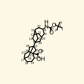 CC(C)(C)OC(=O)NC1CC2CC3CC(C45CC6CCCC(C(=O)O)(C4)C(C6)C5)(C2)CC3C1